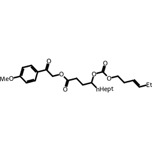 CCC=CCCOC(=O)OC(CCCCCCC)CCC(=O)OCC(=O)c1ccc(OC)cc1